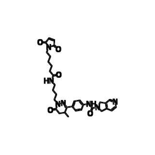 CC1CC(=O)N(CCCCNC(=O)CCCCCN2C(=O)C=CC2=O)N=C1c1ccc(NC(=O)N2Cc3ccncc3C2)cc1